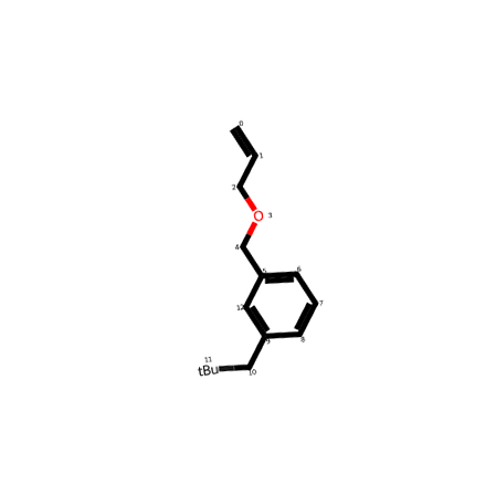 C=CCOCc1cccc(CC(C)(C)C)c1